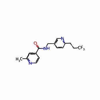 Cc1cc(C(=O)NCc2ccc(CCC(F)(F)F)nc2)ccn1